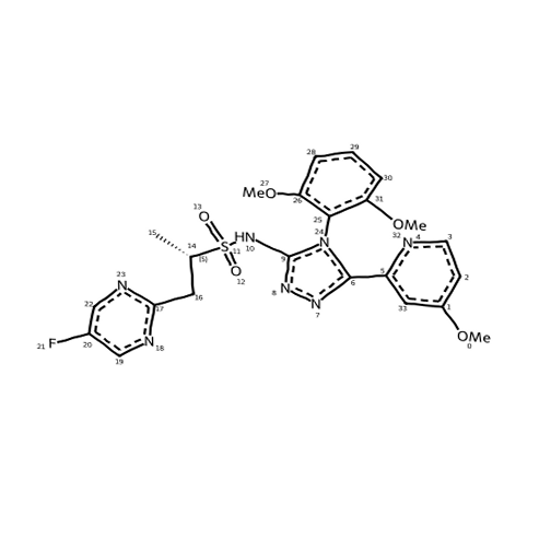 COc1ccnc(-c2nnc(NS(=O)(=O)[C@@H](C)Cc3ncc(F)cn3)n2-c2c(OC)cccc2OC)c1